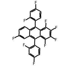 Fc1ccc(-c2c3ccc(F)cc3c(-c3ccc(F)cc3F)c3c(F)c(F)c(F)c(F)c23)c(F)c1